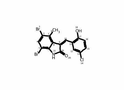 Cc1c(Br)cc(Br)c2c1C(=Cc1cc(Cl)ccc1O)C(=O)N2